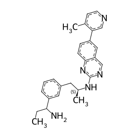 CCC(N)c1cccc(C[C@H](C)Nc2ncc3cc(-c4cnccc4C)ccc3n2)c1